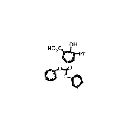 CC(C)c1cccc(C(=O)O)c1O.O=C(Oc1ccccc1)Oc1ccccc1